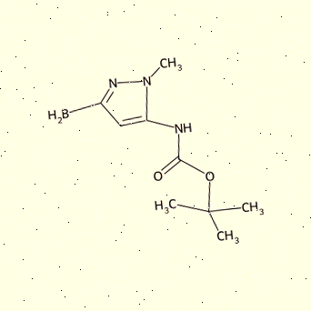 Bc1cc(NC(=O)OC(C)(C)C)n(C)n1